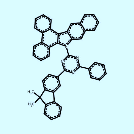 CC1(C)c2ccccc2-c2cc(-c3nc(-c4ccccc4)nc(-n4c5cc6ccccc6cc5c5c6ccccc6c6ccccc6c54)n3)ccc21